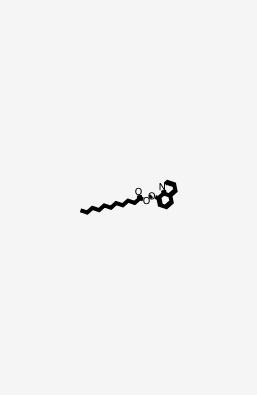 CCCCCCCCCCC(=O)OOc1cccc2cccnc12